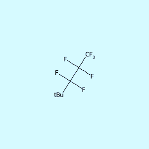 CC(C)(C)C(F)(F)C(F)(F)C(F)(F)F